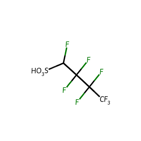 O=S(=O)(O)C(F)C(F)(F)C(F)(F)C(F)(F)F